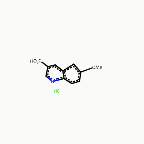 COc1ccc2ncc(C(=O)O)cc2c1.Cl